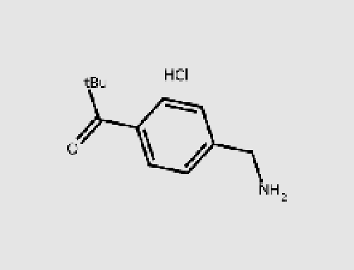 CC(C)(C)C(=O)c1ccc(CN)cc1.Cl